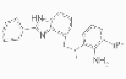 CC(C)c1cccc(C(C)Cc2cccc3[nH]c(-c4ccccc4)nc23)c1N